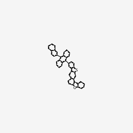 c1ccc2cc(-c3c4ccccc4c(-c4ccc5sc6cc7c(ccc8oc9ccccc9c87)cc6c5c4)c4ccccc34)ccc2c1